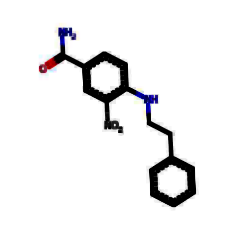 NC(=O)c1ccc(NCCc2ccccc2)c([N+](=O)[O-])c1